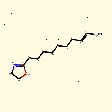 CCCCCCCCC=CCCCCCCCC1=NCCO1